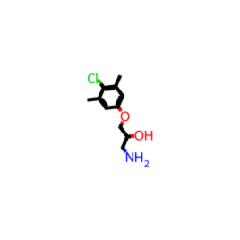 Cc1cc(OCC(O)CN)cc(C)c1Cl